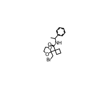 CC(NC(=O)C1(C2(CBr)OCCO2)CCC1)c1ccccc1